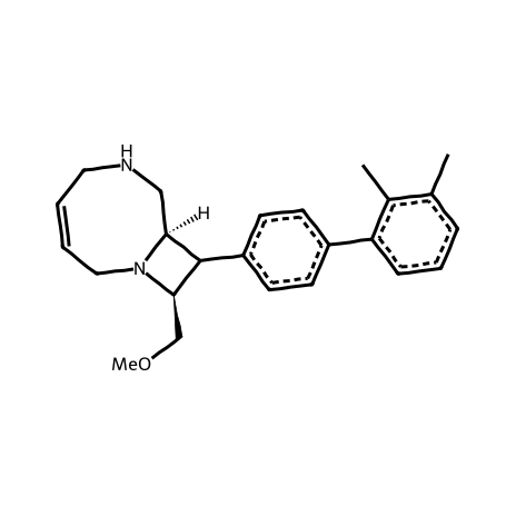 COC[C@@H]1C(c2ccc(-c3cccc(C)c3C)cc2)[C@@H]2CNC/C=C\CN12